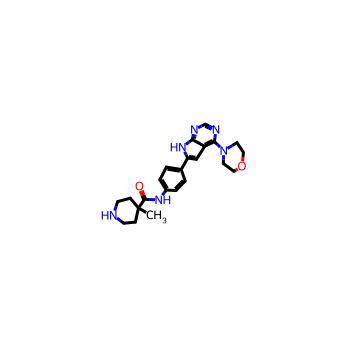 CC1(C(=O)Nc2ccc(-c3cc4c(N5CCOCC5)ncnc4[nH]3)cc2)CCNCC1